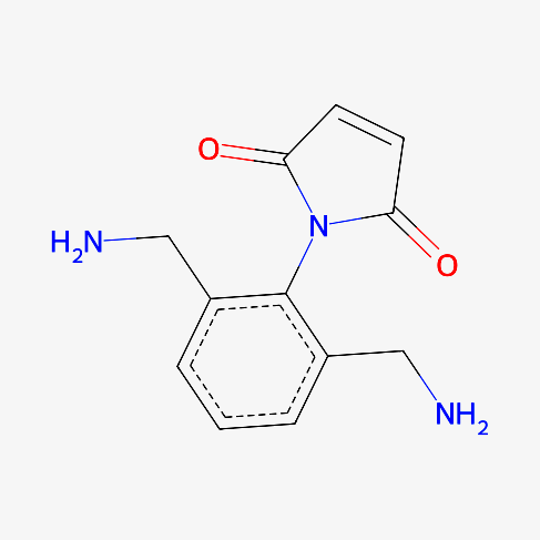 NCc1cccc(CN)c1N1C(=O)C=CC1=O